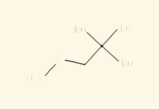 CCC(C)C(CO[SiH3])(C(C)CC)C(C)CC